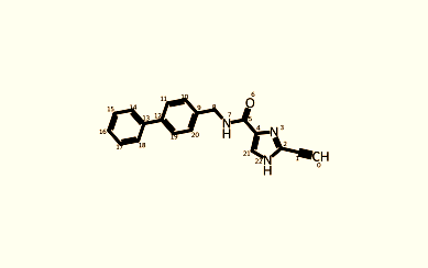 C#Cc1nc(C(=O)NCc2ccc(-c3ccccc3)cc2)c[nH]1